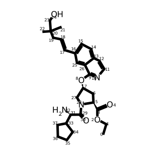 CCOC(=O)[C@@H]1C[C@@H](Oc2nccc3ccc(/C=C/CC(C)(C)CO)cc23)CN1C(=O)[C@@H](N)C1CCCC1